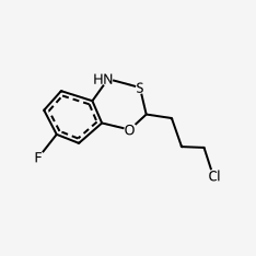 Fc1ccc2c(c1)OC(CCCCl)SN2